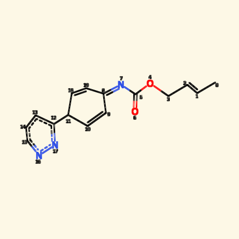 C/C=C/COC(=O)N=C1C=CC(c2cccnn2)C=C1